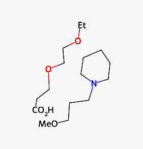 CCOCCOCCC(=O)O.COCCCN1CCCCC1